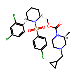 C[C@H]1CN(CC2CC2)CCN1C(=O)OC[C@H]1CCC[C@@H](c2ccc(F)cc2F)N1S(=O)(=O)c1ccc(Cl)cc1